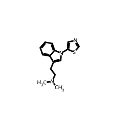 CN(C)CCc1cn(-c2cncs2)c2ccccc12